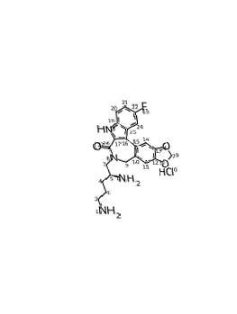 Cl.NCCC[C@H](N)CN1Cc2cc3c(cc2-c2c([nH]c4ccc(F)cc24)C1=O)OCO3